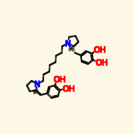 Oc1ccc(C[C@H]2CCCN2CCCCCCCCN2CCC[C@@H]2Cc2ccc(O)c(O)c2)cc1O